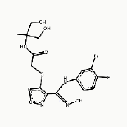 CC(CO)(CO)NC(=O)CSc1nonc1/C(=N/O)Nc1ccc(F)c(Br)c1